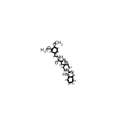 COc1ccc(CNC(=O)C2=NOC3(CCN(C(=S)Nc4ccccc4I)CC3)C2)cc1OC